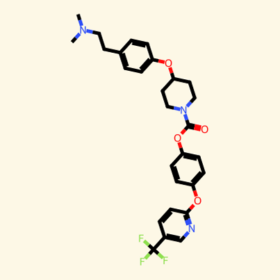 CN(C)CCc1ccc(OC2CCN(C(=O)Oc3ccc(Oc4ccc(C(F)(F)F)cn4)cc3)CC2)cc1